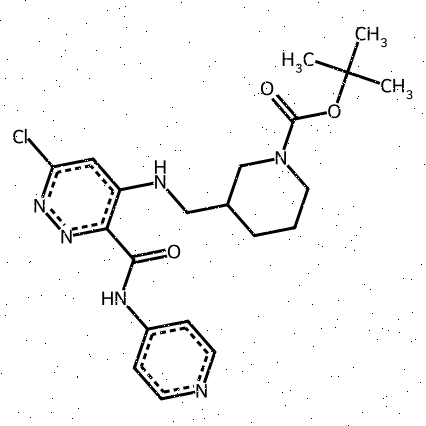 CC(C)(C)OC(=O)N1CCCC(CNc2cc(Cl)nnc2C(=O)Nc2ccncc2)C1